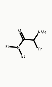 CCN(CC)C(=O)C(NC)C(C)C